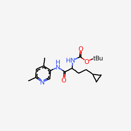 Cc1cc(C)c(NC(=O)C(CCC2CC2)NC(=O)OC(C)(C)C)cn1